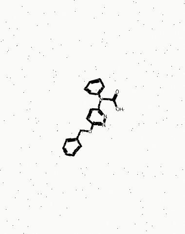 O=C(O)N(c1ccccc1)c1ccc(OCc2ccccc2)nn1